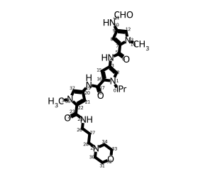 CC(C)n1cc(NC(=O)c2cc(NC=O)cn2C)cc1C(=O)Nc1cc(C(=O)NCCCN2CCOCC2)n(C)c1